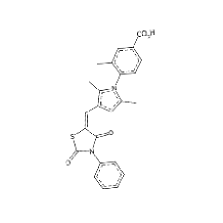 Cc1cc(C(=O)O)ccc1-n1c(C)cc(C=C2SC(=O)N(c3ccccc3)C2=O)c1C